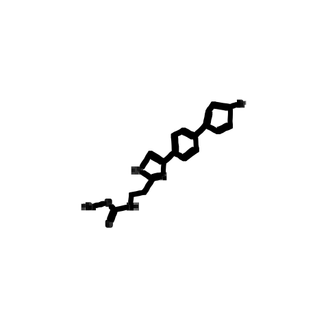 CCCCOC(=O)NCCc1nc(-c2ccc(-c3ccc(Br)cc3)cc2)c[nH]1